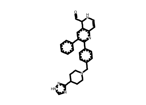 O=CC1NC=Cc2nc(-c3ccc(CN4CCC(c5nc[nH]n5)CC4)cc3)c(-c3ccccc3)cc21